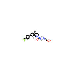 O=C(N1CCN(CCO)CC1)N1CC[C@@H]2C[C@H]1c1cc(-c3ccc(C(F)(F)F)cc3)ccc12